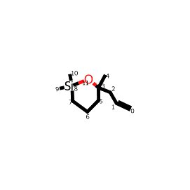 C=CCC1(C)CCC[Si](C)(C)O1